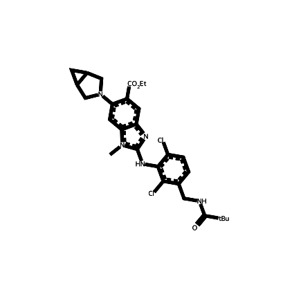 CCOC(=O)c1cc2nc(Nc3c(Cl)ccc(CNC(=O)C(C)(C)C)c3Cl)n(C)c2cc1N1CC2CC2C1